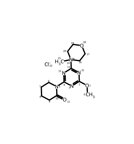 COc1nc(N2CCCCC2=O)nc([N+]2(C)CCOCC2)n1.[Cl-]